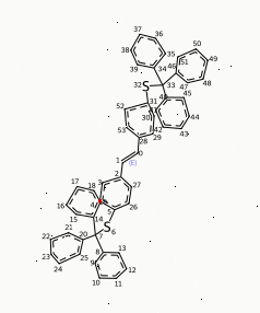 C(=C\c1ccc(SC(c2ccccc2)(c2ccccc2)c2ccccc2)cc1)/c1ccc(SC(c2ccccc2)(c2ccccc2)c2ccccc2)cc1